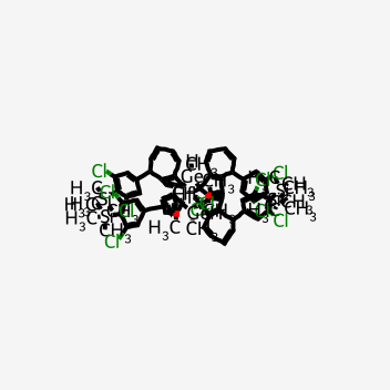 CC1=CC2=C(C=CC=CC2c2cc(Cl)c([Si](C)(C)C)c(Cl)c2)[C]12[GeH]([CH3])[C]1(C(C)=CC3=C1C=CC=CC3c1cc(Cl)c([Si](C)(C)C)c(Cl)c1)[Hf]21([Cl])([Cl])[C]2(C(C)=CC3=C2C=CC=CC3c2cc(Cl)c([Si](C)(C)C)c(Cl)c2)[GeH]([CH3])[C]12C(C)=CC1=C2C=CC=CC1c1cc(Cl)c([Si](C)(C)C)c(Cl)c1